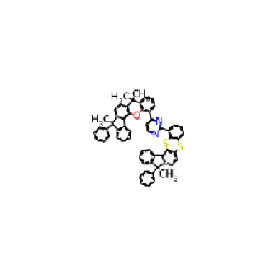 CC1(C)c2cccc(-c3ccnc(-c4cccc5c4Sc4c(ccc6c4-c4ccccc4C6(C)c4ccccc4)S5)n3)c2Oc2c1ccc1c2-c2ccccc2C1(C)c1ccccc1